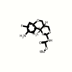 CC(C)(C)OC(=O)NC1=N[C@]2(C)c3cc(N)c(F)cc3OC[C@@H]2CS1